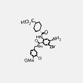 COc1ccc(CNC(=O)c2cc(Br)c(N)cc2NC(=O)[C@H]2CC[C@H](C(=O)O)CC2)cc1Cl